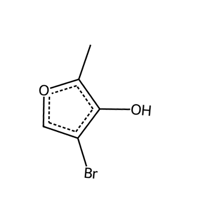 Cc1occ(Br)c1O